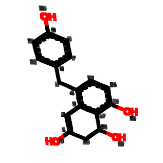 OC1=Cc2c(Cc3ccc(O)cc3)ccc(O)c2C(O)C1